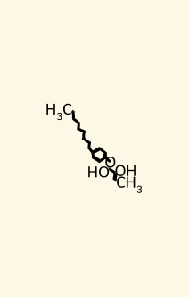 CC=C(O)C(O)Oc1ccc(CCCCCCCCC)cc1